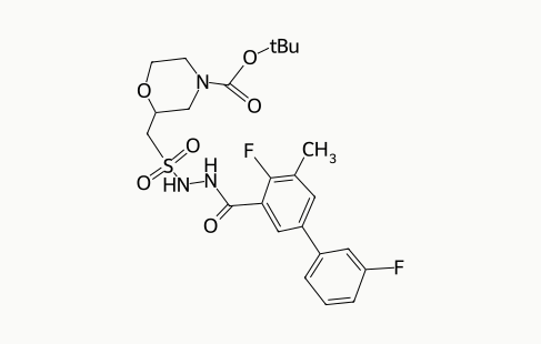 Cc1cc(-c2cccc(F)c2)cc(C(=O)NNS(=O)(=O)CC2CN(C(=O)OC(C)(C)C)CCO2)c1F